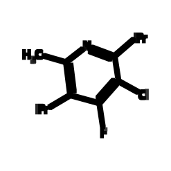 Cc1nc(C(C)C)c(Cl)c(F)c1C(C)C